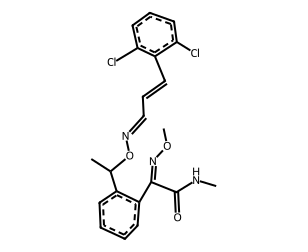 CNC(=O)C(=NOC)c1ccccc1C(C)ON=CC=Cc1c(Cl)cccc1Cl